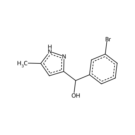 Cc1cc(C(O)c2cccc(Br)c2)n[nH]1